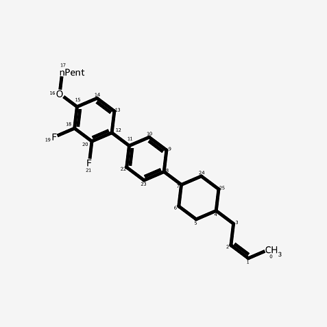 C/C=C\CC1CCC(c2ccc(-c3ccc(OCCCCC)c(F)c3F)cc2)CC1